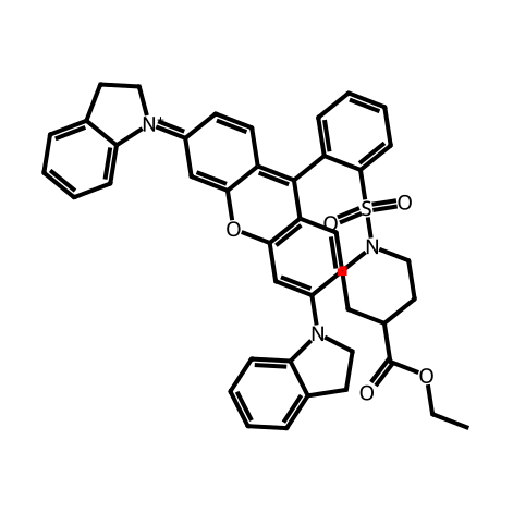 CCOC(=O)C1CCN(S(=O)(=O)c2ccccc2-c2c3cc/c(=[N+]4\CCc5ccccc54)cc-3oc3cc(N4CCc5ccccc54)ccc23)CC1